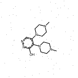 CN1CCN(c2cnnc(O)c2N2CCN(C)CC2)CC1